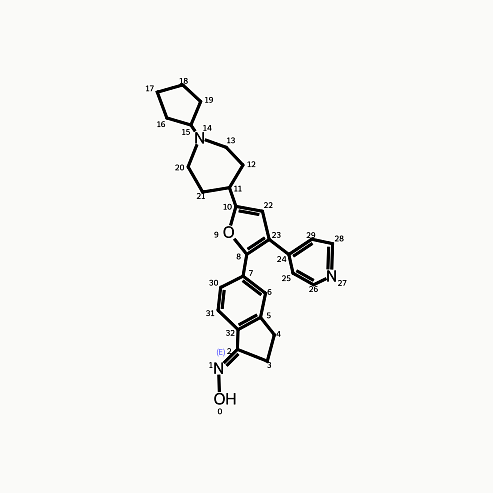 O/N=C1\CCc2cc(-c3oc(C4CCN(C5CCCC5)CC4)cc3-c3ccncc3)ccc21